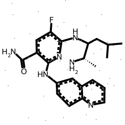 CC(C)CC(Nc1nc(Nc2ccc3ncccc3c2)c(C(N)=O)cc1F)[C@H](C)N